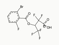 O=C(OC(C(F)(F)F)C(F)(F)S(=O)(=O)O)c1c(F)cccc1Br